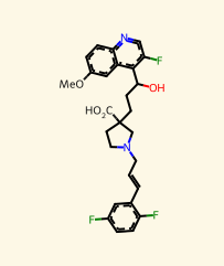 COc1ccc2ncc(F)c(C(O)CCC3(C(=O)O)CCN(CC=Cc4cc(F)ccc4F)C3)c2c1